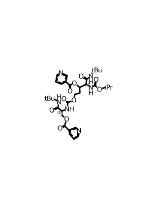 CC(C)OC(=O)N[C@H](C(=O)NC(C)(C)C)C(CCOC(=O)N[C@@H](COC(=O)c1cccnc1)C(=O)NC(C)(C)C)OC(=O)c1cccnc1